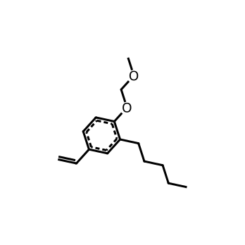 C=Cc1ccc(OCOC)c(CCCCC)c1